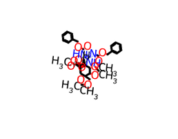 CO[C@H]1O[C@@H]2C(=O)OC3C1C2(N/C(=N\C(=O)OCc1ccccc1)NC(=O)OCc1ccccc1)C1OC(C)(C)OC1C31COC(C)(C)O1